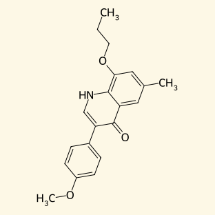 CCCOc1cc(C)cc2c(=O)c(-c3ccc(OC)cc3)c[nH]c12